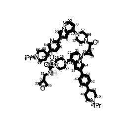 CCOC1(c2ccc(-c3cc4c(N5CCN(C(=O)C6CC6[n+]6ccc(N7CCN(C(=O)NCC8COC8)CC7)c7cc(-c8ccc(C9CCN(C(C)C)CC9)cc8)cn76)CC5)ccnn4c3)nc2)CCN(C(C)C)CC1